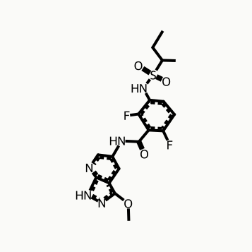 CCC(C)S(=O)(=O)Nc1ccc(F)c(C(=O)Nc2cnc3[nH]nc(OC)c3c2)c1F